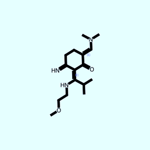 COCCN/C(=C1\C(=N)CC/C(=C\N(C)C)C1=O)C(C)C